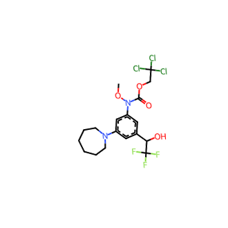 CON(C(=O)OCC(Cl)(Cl)Cl)c1cc(C(O)C(F)(F)F)cc(N2CCCCCC2)c1